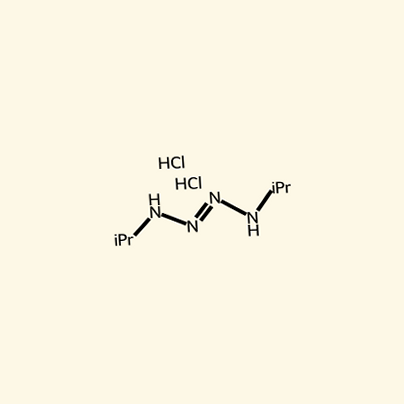 CC(C)NN=NNC(C)C.Cl.Cl